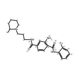 CC1CCCCN1CCCNC(=O)c1ccc(C(=O)Nc2ccccc2F)c(N)c1